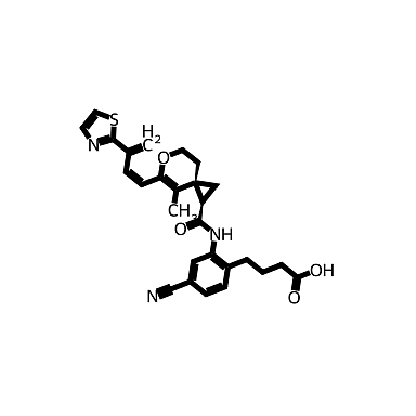 C=C(/C=C\C1=C(C)[C@]2(CCO1)C[C@H]2C(=O)Nc1cc(C#N)ccc1CCCC(=O)O)c1nccs1